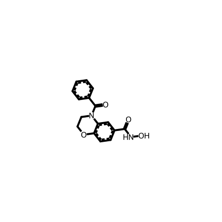 O=C(NO)c1ccc2c(c1)N(C(=O)c1ccccc1)CCO2